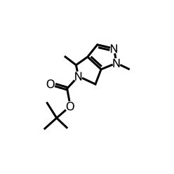 CC1c2cnn(C)c2CN1C(=O)OC(C)(C)C